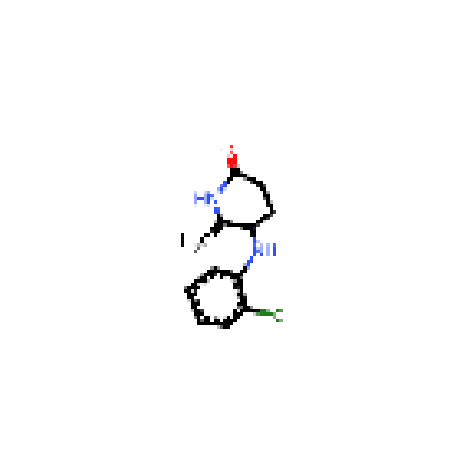 C=C1NC(=O)CCC1Nc1ccccc1Cl